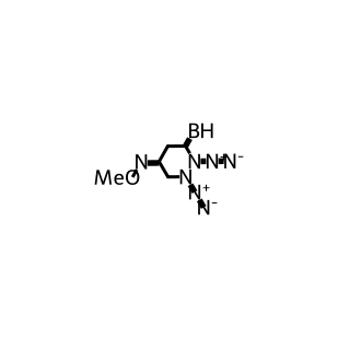 B=C(CC(CN=[N+]=[N-])=NOC)N=[N+]=[N-]